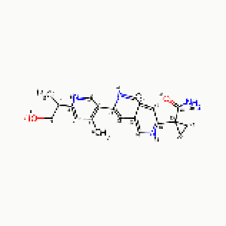 Cc1cc(C(C)CO)ncc1-c1cc2cnc(C3(C(N)=O)CC3)cc2cn1